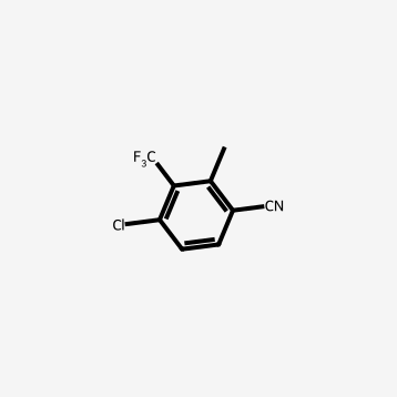 Cc1c(C#N)ccc(Cl)c1C(F)(F)F